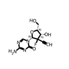 C#CC1(F)[C@@H](O)[C@@H](CO)O[C@H]1n1cnc(N)nc1=O